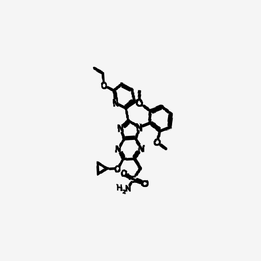 CCOc1cccc(-c2nc3nc(OC4CC4)c(CS(N)(=O)=O)nc3n2-c2c(OC)cccc2OC)n1